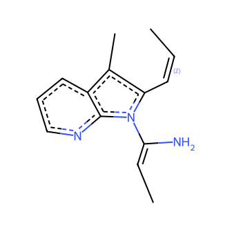 CC=C(N)n1c(/C=C\C)c(C)c2cccnc21